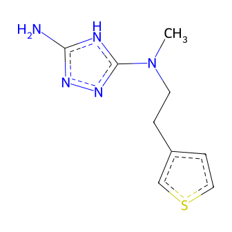 CN(CCc1ccsc1)c1nnc(N)[nH]1